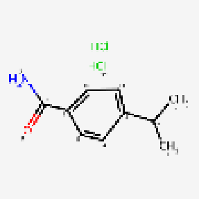 CC(C)c1ccc(C(N)=O)cc1.Cl.Cl